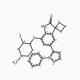 CN1CCC(Oc2cc(-c3ccnn3-c3ccccc3)cc3c2NC(=O)C32CCC2)C(F)C1